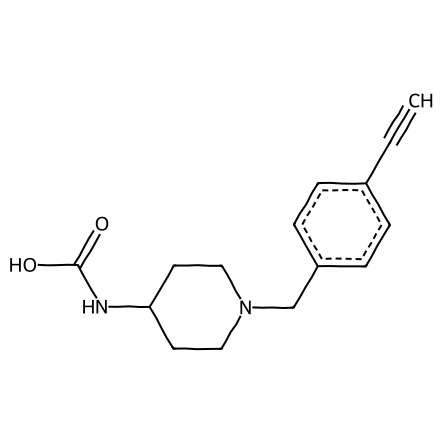 C#Cc1ccc(CN2CCC(NC(=O)O)CC2)cc1